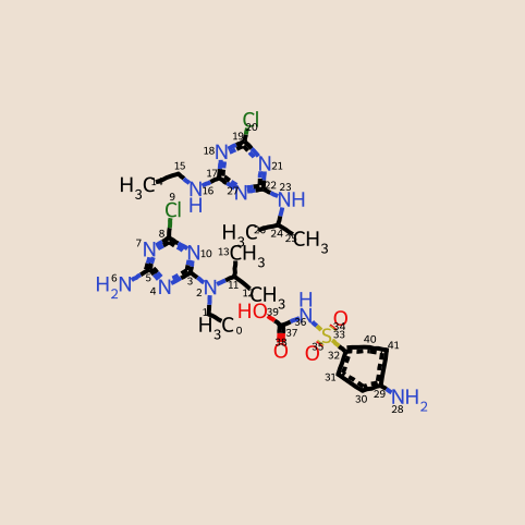 CCN(c1nc(N)nc(Cl)n1)C(C)C.CCNc1nc(Cl)nc(NC(C)C)n1.Nc1ccc(S(=O)(=O)NC(=O)O)cc1